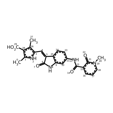 Cc1[nH]c(/C=C2\C(=O)Nc3cc(NC(=O)c4cccn(C)c4=O)ccc32)c(C)c1C(=O)O